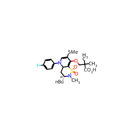 CCCC[C@@H]1CC2C(=C(OCC(C)(C)C(=O)O)C(SC)=CN2c2ccc(F)cc2)S(=O)(=O)N1C